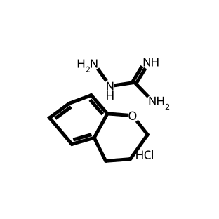 Cl.N=C(N)NN.c1ccc2c(c1)CCCO2